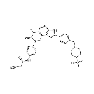 CN1C(=O)N(c2ccc(NC(=O)CC#N)cc2)Cc2c1cnc1[nH]c(-c3ccc(CN4CCC(S(C)(=O)=O)CC4)cc3)cc21